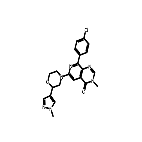 Cn1cc(C2CN(c3cc4c(=O)n(C)cnc4c(-c4ccc(Cl)cc4)n3)CCO2)cn1